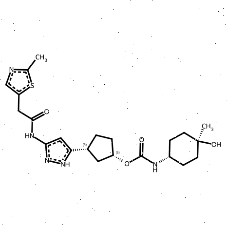 Cc1ncc(CC(=O)Nc2cc([C@@H]3CC[C@H](OC(=O)N[C@H]4CC[C@](C)(O)CC4)C3)[nH]n2)s1